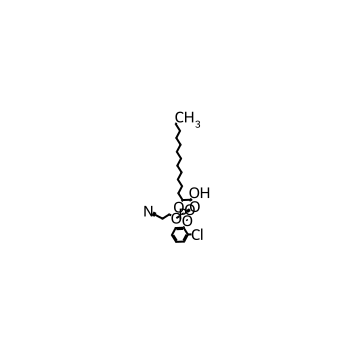 CCCCCCCCCCCCC(OP(=O)(OCCC#N)Oc1ccccc1Cl)C(=O)O